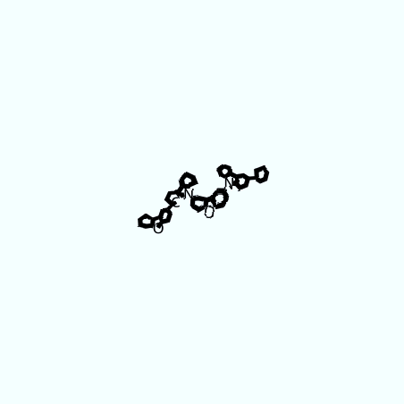 c1ccc(-c2ccc3c(c2)c2ccccc2n3-c2ccc3oc4ccc(-n5c6ccccc6c6ccc(-c7ccc8oc9ccccc9c8c7)cc65)cc4c3c2)cc1